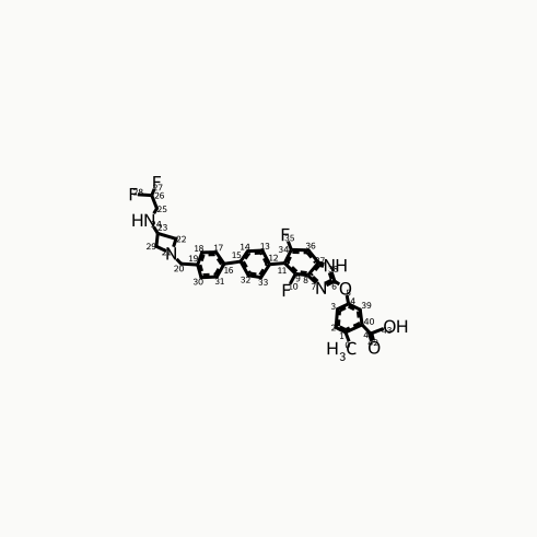 Cc1ccc(Oc2nc3c(F)c(-c4ccc(-c5ccc(CN6CC(NCC(F)F)C6)cc5)cc4)c(F)cc3[nH]2)cc1C(=O)O